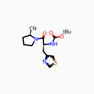 CC(C)(C)OC(=O)N[C@@H](Cc1cscn1)C(=O)N1CCC[C@H]1C#N